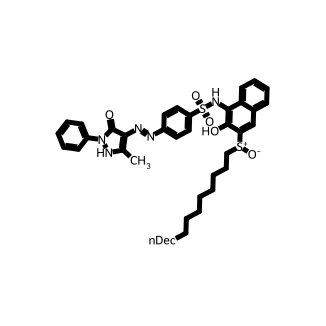 CCCCCCCCCCCCCCCCCC[S+]([O-])c1cc2ccccc2c(NS(=O)(=O)c2ccc(N=Nc3c(C)[nH]n(-c4ccccc4)c3=O)cc2)c1O